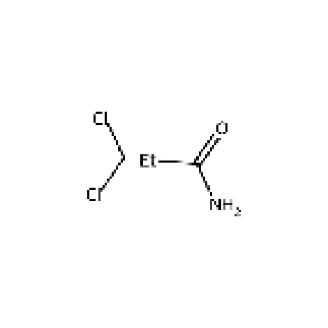 CCC(N)=O.ClCCl